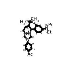 CCN(c1ccc2c(c1)OC(C)(C)C1=CCN3CN(c4ccc(C(C)=O)cc4)CN3C12)C(C)C